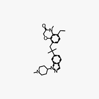 CCc1ccc(CC(C)(C)c2ccc3cnn(C4CCN(C)CC4)c3c2)c2c1N(C)C(=O)CO2